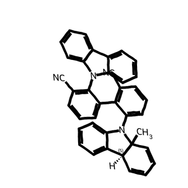 CC12C=CC=C[C@H]1c1ccccc1N2c1cccc(C#N)c1-c1cccc(C#N)c1-n1c2ccccc2c2ccccc21